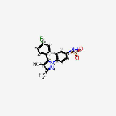 N#Cc1c(C(F)(F)F)nn(-c2ccc(N[SH](=O)=O)cc2)c1-c1ccc(F)cc1